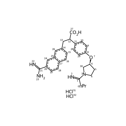 CCCC(=N)N1CC[C@H](Oc2ccc(C(Cc3ccc4ccc(C(=N)N)cc4c3)C(=O)O)cc2)C1.Cl.Cl